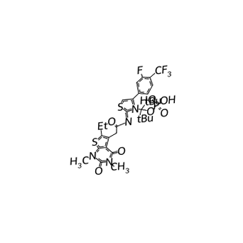 CCc1sc2c(c1CC(=O)N=c1scc(-c3ccc(C(F)(F)F)c(F)c3)n1C(OP(=O)(O)O)(C(C)(C)C)C(C)(C)C)c(=O)n(C)c(=O)n2C